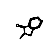 C[C]1Cc2ccccc2C1=O